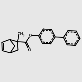 CC1(C(=O)Oc2ccc(-c3ccccc3)cc2)CC2C=CC1C2